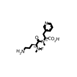 CN(F)[C@@H](CCCN)C(=O)N(C)[C@@H](Cc1cccnc1)C(=O)O